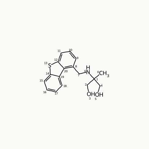 CC(CO)(CO)NCc1cccc2sc3ccccc3c12